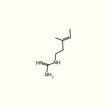 C/C=C(\C)CCNC(=N)N